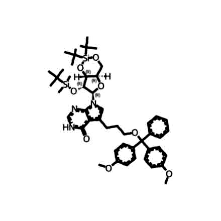 COc1ccc(C(OCCCc2cn([C@@H]3O[C@@H]4CO[Si](C(C)(C)C)(C(C)(C)C)O[C@H]4[C@H]3O[Si](C)(C)C(C)(C)C)c3nc[nH]c(=O)c23)(c2ccccc2)c2ccc(OC)cc2)cc1